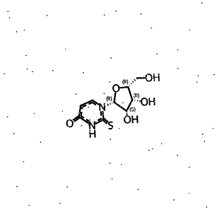 O=c1ccn([C@@H]2O[C@H](CO)[C@H](O)[C@@H]2O)c(=S)[nH]1